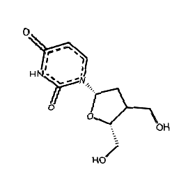 O=c1ccn([C@@H]2CC(CO)[C@H](CO)O2)c(=O)[nH]1